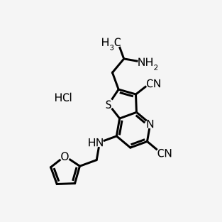 CC(N)Cc1sc2c(NCc3ccco3)cc(C#N)nc2c1C#N.Cl